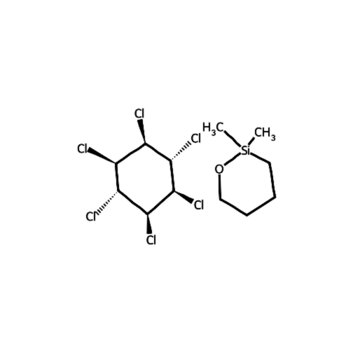 C[Si]1(C)CCCCO1.Cl[C@H]1[C@H](Cl)[C@@H](Cl)[C@@H](Cl)[C@H](Cl)[C@H]1Cl